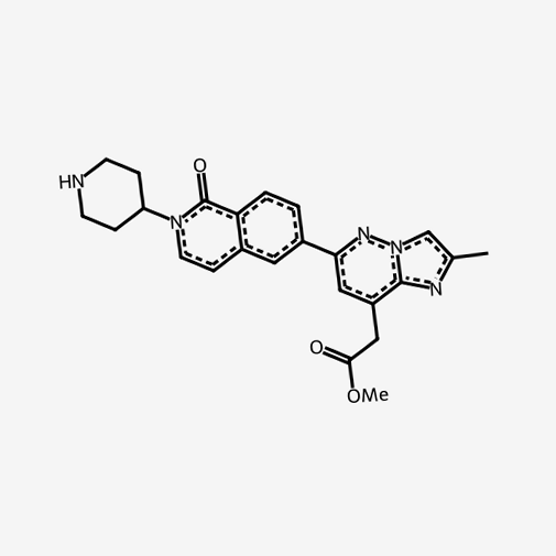 COC(=O)Cc1cc(-c2ccc3c(=O)n(C4CCNCC4)ccc3c2)nn2cc(C)nc12